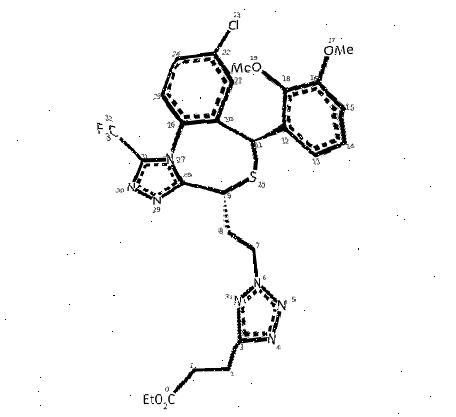 CCOC(=O)CCc1nnn(CC[C@H]2S[C@H](c3cccc(OC)c3OC)c3cc(Cl)ccc3-n3c2nnc3C(F)(F)F)n1